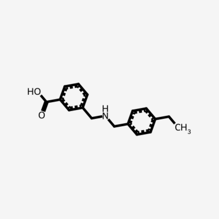 CCc1ccc(CNCc2cccc(C(=O)O)c2)cc1